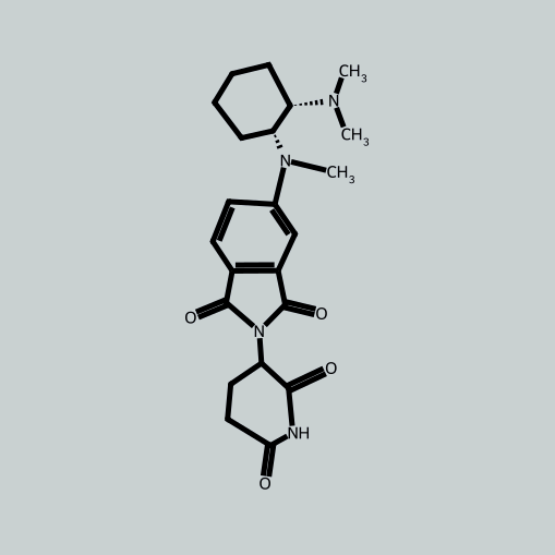 CN(C)[C@H]1CCCC[C@H]1N(C)c1ccc2c(c1)C(=O)N(C1CCC(=O)NC1=O)C2=O